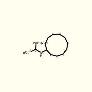 CCCCCCCCC(BC1CCCCCCCCCC1)CCCCCCC